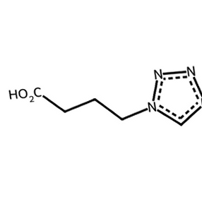 O=C(O)CCCn1cnnn1